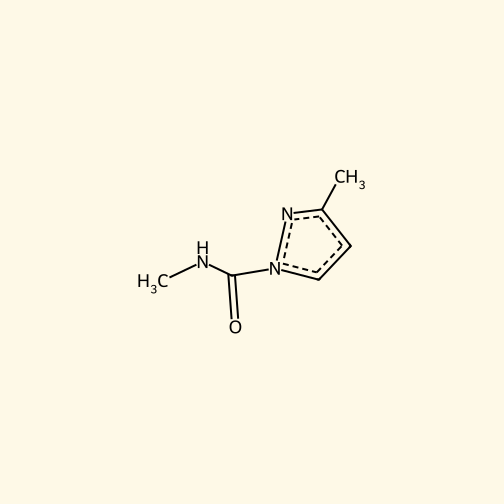 CNC(=O)n1ccc(C)n1